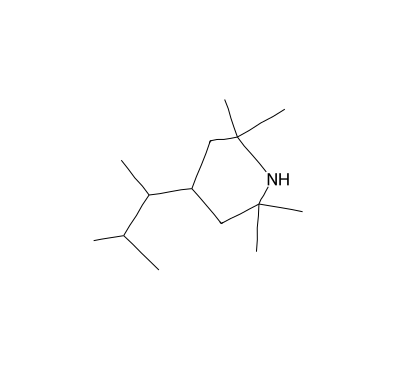 CC(C)C(C)C1CC(C)(C)NC(C)(C)C1